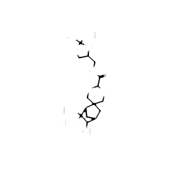 CCC1(C)OCC(COC(=O)C2OCC3(CO2)CC2CC3C(C)(C)C2C)O1